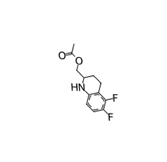 CC(=O)OCC1CCc2c(ccc(F)c2F)N1